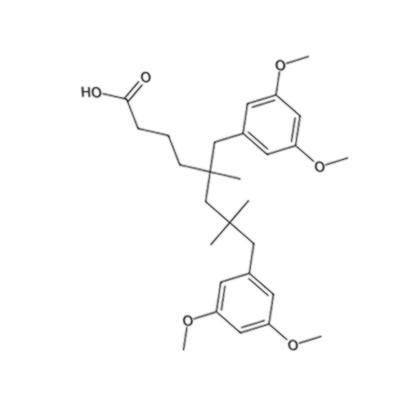 COc1cc(CC(C)(C)CC(C)(CCCC(=O)O)Cc2cc(OC)cc(OC)c2)cc(OC)c1